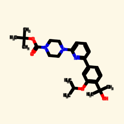 CC(C)Oc1cc(-c2cccc(N3CCN(C(=O)OC(C)(C)C)CC3)n2)ccc1C(C)(C)O